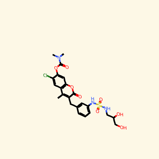 Cc1c(Cc2cccc(NS(=O)(=O)NCC(O)CO)c2)c(=O)oc2cc(OC(=O)N(C)C)c(Cl)cc12